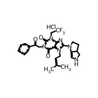 CC(C)=CCn1c(N2CCC3CNC=C32)nc2c1c(=O)n(CC(=O)c1ccccc1)c(=O)n2CC(F)(F)F.Cl